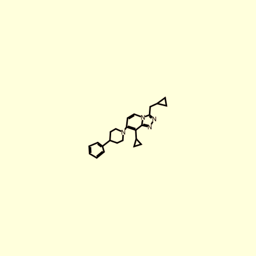 c1ccc(C2CCN(c3ccn4c(CC5CC5)nnc4c3C3CC3)CC2)cc1